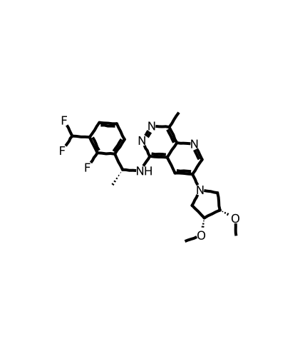 CO[C@H]1CN(c2cnc3c(C)nnc(N[C@H](C)c4cccc(C(F)F)c4F)c3c2)C[C@H]1OC